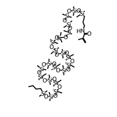 C=C(C)C(=O)NCCC[Si](C)(C)O[Si](C)(C)O[Si](C)(C)O[Si](C)(C)O[Si](C)(C)O[Si](C)(C)O[Si](C)(C)O[Si](C)(C)O[Si](C)(C)O[Si](C)(C)O[Si](C)(C)O[Si](C)(C)O[Si](C)(C)O[Si](C)(C)O[Si](C)(C)O[Si](C)(C)O[Si](C)(C)O[Si](C)(C)O[Si](C)(C)O[Si](C)(C)O[Si](C)(C)CCCC